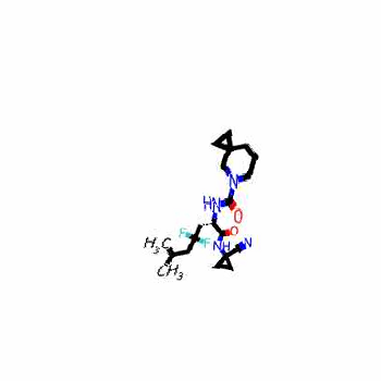 CC(C)CC(F)(F)C[C@H](NC(=O)N1CCCC2(CC2)C1)C(=O)NC1(C#N)CC1